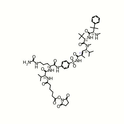 CN[C@H](C(=O)N[C@H](C(=O)N(C)[C@H](/C=C(\C)C(=O)NS(=O)(=O)c1ccc(NC(=O)[C@H](CCCNC(N)=O)NC(=O)[C@@H](NC(=O)CCCCC(=O)ON2C(=O)CCC2=O)C(C)C)cc1)C(C)C)C(C)(C)C)C(C)(C)c1ccccc1